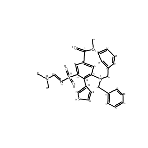 COC(=O)c1cc(N(Cc2ccccc2)Cc2ccccc2)c(-c2ccsc2)c(S(=O)(=O)/N=C/N(C)C)c1